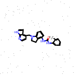 O=C(Nc1ccccc1C(F)(F)F)Nc1cccc2c1CCN2Cc1ccnc2[nH]ccc12